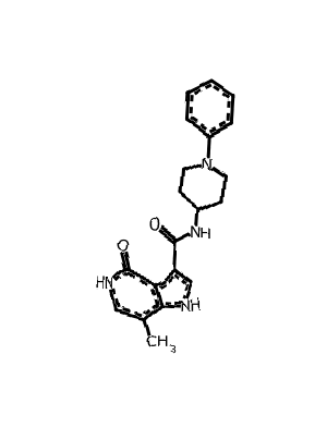 Cc1c[nH]c(=O)c2c(C(=O)NC3CCN(c4ccccc4)CC3)c[nH]c12